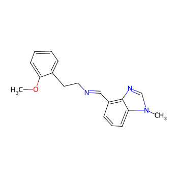 COc1ccccc1CCN=Cc1cccc2c1ncn2C